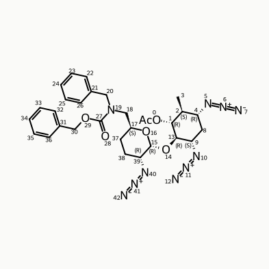 CC(=O)O[C@@H]1[C@@H](C)[C@H](N=[N+]=[N-])C[C@H](N=[N+]=[N-])[C@H]1O[C@H]1O[C@H](CN(Cc2ccccc2)C(=O)OCc2ccccc2)CC[C@H]1N=[N+]=[N-]